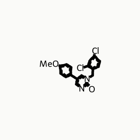 COc1ccc(-c2cnc(=O)n(Cc3ccc(Cl)cc3Cl)c2)cc1